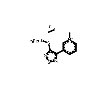 CCCCCSc1nsnc1-c1ccc[n+](C)c1.CI.[I-]